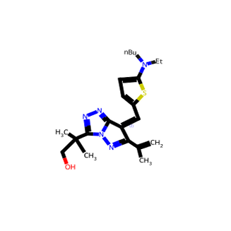 C=C(C)c1nn2c(C(C)(C)CO)nnc2/c1=C\c1ccc(N(CC)CCCC)s1